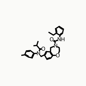 CCc1ccccc1NC(=O)N1CCOc2ccc(CN(C(=O)C(C)C)c3ccc(C)cc3)cc2C1